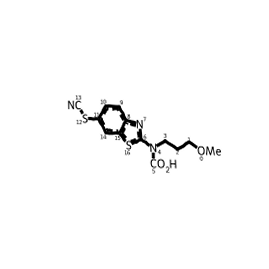 COCCCN(C(=O)O)c1nc2ccc(SC#N)cc2s1